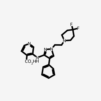 O=C(O)c1ccncc1Nc1nn(CCN2CCC(F)(F)CC2)cc1-c1ccccc1